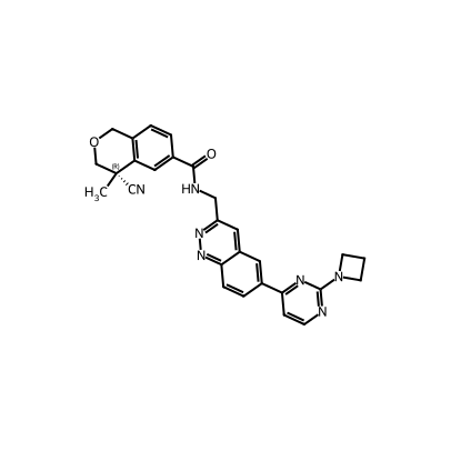 C[C@@]1(C#N)COCc2ccc(C(=O)NCc3cc4cc(-c5ccnc(N6CCC6)n5)ccc4nn3)cc21